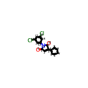 O=C1C=C(c2ccccc2)C(=O)N1c1cc(Cl)cc(Cl)c1